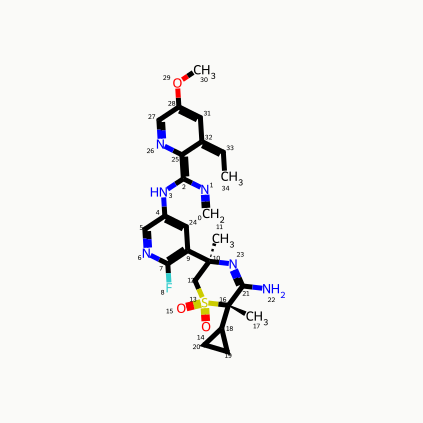 C=N/C(Nc1cnc(F)c([C@]2(C)CS(=O)(=O)[C@@](C)(C3CC3)C(N)=N2)c1)=c1/ncc(OC)c/c1=C/C